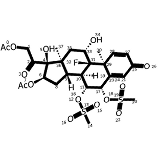 CC(=O)OCC(=O)[C@@]1(O)[C@H](OC(C)=O)C[C@H]2[C@@H]3[C@@H](OS(C)(=O)=O)[C@@H](OS(C)(=O)=O)C4=CC(=O)C=C[C@]4(C)[C@@]3(F)[C@@H](O)C[C@@]21C